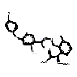 CNC(=O)/C(=N/OC)c1cccc(C)c1CO/N=C(\C)c1ccc(Oc2ccc(Cl)cc2)cc1C(F)(F)F